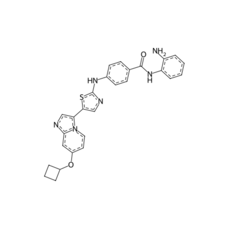 Nc1ccccc1NC(=O)c1ccc(Nc2ncc(-c3cnc4cc(OC5CCC5)ccn34)s2)cc1